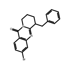 O=c1c2ccc(Br)cc2nc2n1CCCC2Cc1ccccc1